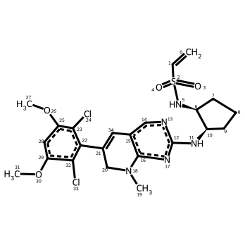 C=CS(=O)(=O)N[C@H]1CCC[C@H]1Nc1ncc2c(n1)N(C)CC(c1c(Cl)c(OC)cc(OC)c1Cl)=C2